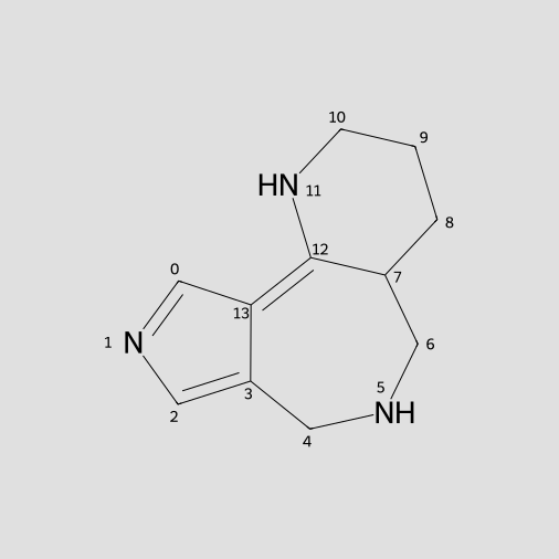 C1=NC=C2CNCC3CCCNC3=C12